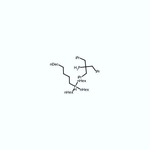 CC(C)CC(P)(CC(C)C)CC(C)C.CCCCCCCCCCCCCC[PH](CCCCCC)(CCCCCC)CCCCCC